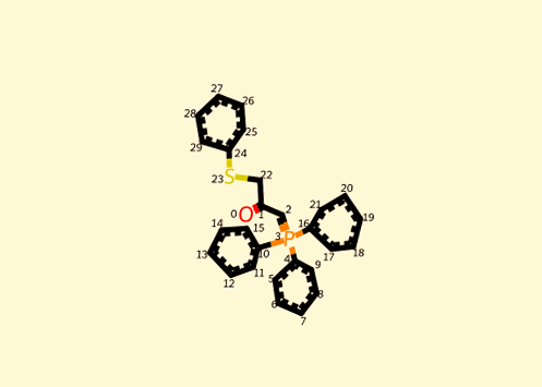 O=C(C=P(c1ccccc1)(c1ccccc1)c1ccccc1)CSc1ccccc1